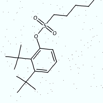 CCCCCS(=O)(=O)Oc1cccc(C(C)(C)C)c1C(C)(C)C